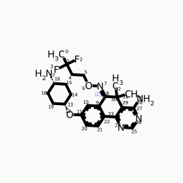 CC(F)(F)CCO/N=C1\c2cc(O[C@H]3CC[C@@H](N)CC3)ccc2-c2ncnc(N)c2C1(C)C